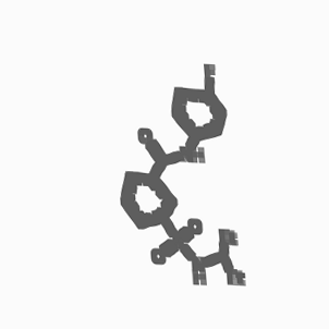 CCC(CC)NS(=O)(=O)c1cccc(C(=O)Nc2ccc(F)cc2)c1